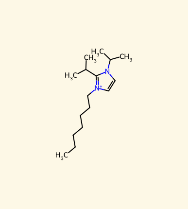 CCCCCCC[n+]1ccn(C(C)C)c1C(C)C